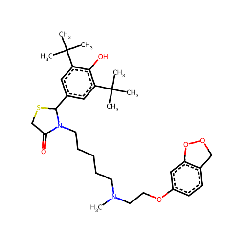 CN(CCCCCN1C(=O)CSC1c1cc(C(C)(C)C)c(O)c(C(C)(C)C)c1)CCOc1ccc2c(c1)OOC2